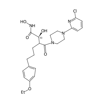 CCOc1ccc(CCCC(C(=O)N2CCN(c3cccc(Cl)n3)CC2)[C@H](O)C(=O)NO)cc1